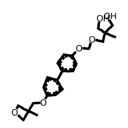 CC(CO)(CO)COCOc1ccc(-c2ccc(OCC3(C)COC3)cc2)cc1